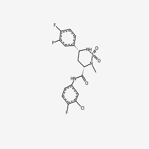 CN1[C@H](C(=O)Nc2ccc(F)c(Cl)c2)C[C@H](c2ccc(F)c(F)c2)NS1(=O)=O